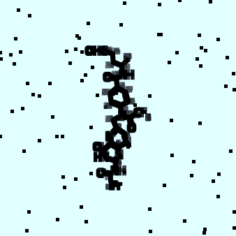 CC(C)C(=O)Nc1nc2ncc(CN(C(=O)C(F)(F)F)c3ccc(C(=O)N[C@H](C)CCC=O)cc3)nc2c(=O)[nH]1